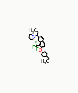 CCC1CCC(Oc2ccc3ccc(C(CC)N4CCCCC4)cc3c2C(F)(F)F)CC1